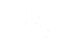 CC(C)c1cc(C(C)(C)c2ccccc2)cc(C(=O)O)c1O